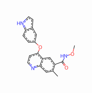 CONC(=O)c1cc2c(Oc3ccc4[nH]ccc4c3)ccnc2cc1C